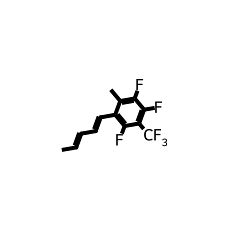 C/C=C/C=C/c1c(C)c(F)c(F)c(C(F)(F)F)c1F